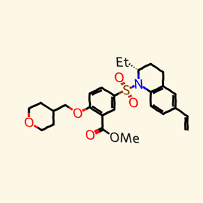 C=Cc1ccc2c(c1)CC[C@@H](CC)N2S(=O)(=O)c1ccc(OCC2CCOCC2)c(C(=O)OC)c1